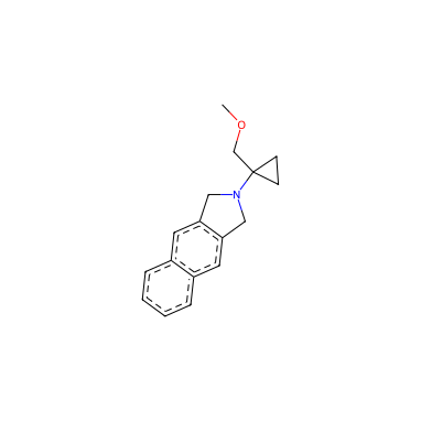 COCC1(N2Cc3cc4ccccc4cc3C2)CC1